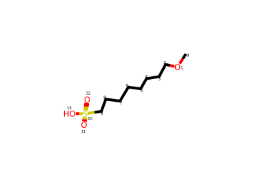 COCCCCCCCCS(=O)(=O)O